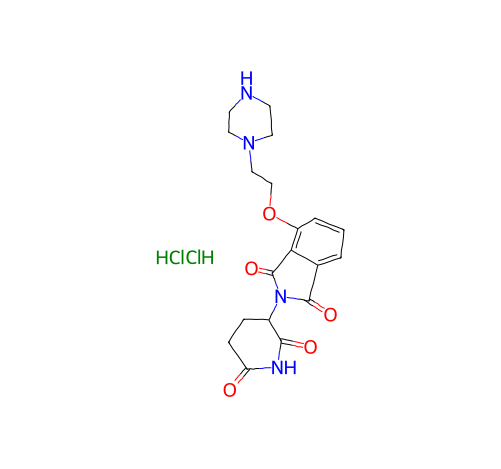 Cl.Cl.O=C1CCC(N2C(=O)c3cccc(OCCN4CCNCC4)c3C2=O)C(=O)N1